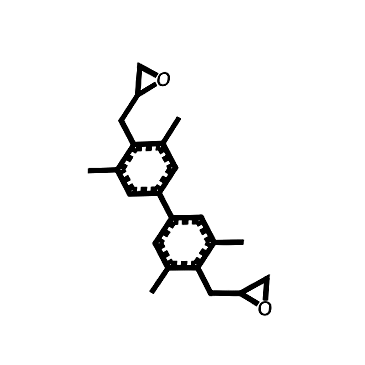 Cc1cc(-c2cc(C)c(CC3CO3)c(C)c2)cc(C)c1CC1CO1